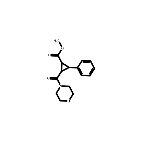 COC(=O)C1C(C(=O)N2CCOCC2)C1c1ccccc1